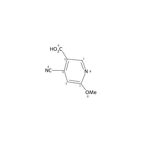 COc1cc(C#N)c(C(=O)O)cn1